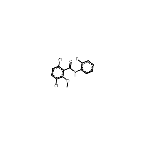 COc1c(Cl)ccc(Cl)c1C(=O)Nc1ccccc1F